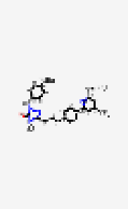 CCn1c(CCCc2ccc(-c3cc(C(F)(F)F)cc(CC(=O)O)n3)cc2)nn(Cc2ccc(C(C)(C)C)cc2)c1=O